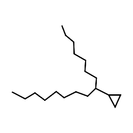 CCCCCCCCC(CCCCCCC)C1CC1